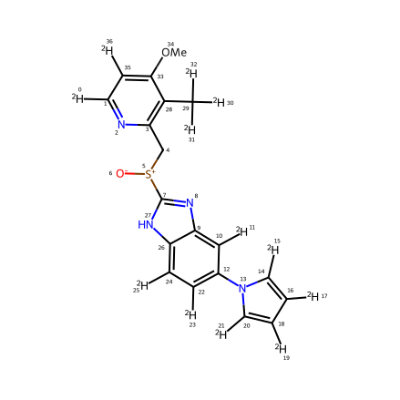 [2H]c1nc(C[S+]([O-])c2nc3c([2H])c(-n4c([2H])c([2H])c([2H])c4[2H])c([2H])c([2H])c3[nH]2)c(C([2H])([2H])[2H])c(OC)c1[2H]